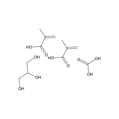 C=C(C)C(=O)O.C=C(C)C(=O)O.O=C(O)O.OCC(O)CO